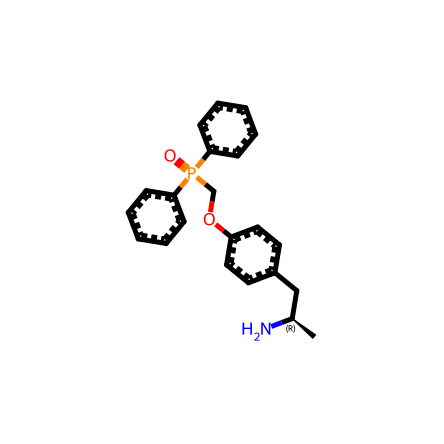 C[C@@H](N)Cc1ccc(OCP(=O)(c2ccccc2)c2ccccc2)cc1